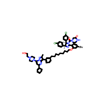 Cc1nn2c(N3CCN(CCO)CC3)cc(-c3ccccc3)nc2c1-c1cccc(CCCCCCCCCOc2cc(C(C)(C)C)ccc2C2=N[C@@](C)(c3ccc(Cl)cc3)[C@@](C)(c3ccc(Cl)cc3)N2C(=O)N2CCNC(=O)C2)c1